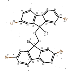 CCC1(CCC2(CC)c3cc(Br)ccc3-c3ccc(Br)cc32)c2cc(Br)ccc2-c2ccc(Br)cc21